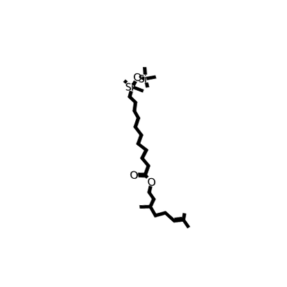 CC(C)=CCCC(C)CCOC(=O)CCCCCCCCCC[Si](C)(C)O[Si](C)(C)C